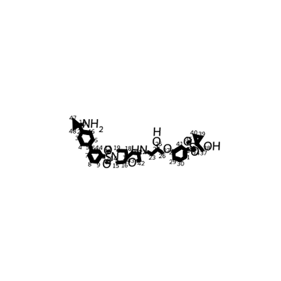 NC1(c2ccc(-c3cccc(S(=O)(=O)N4CCC5(CC4)C[C@H](NC[C@H](O)COc4cccc(S(=O)(=O)C6(CO)CC6)c4)CO5)c3)cc2)CC1